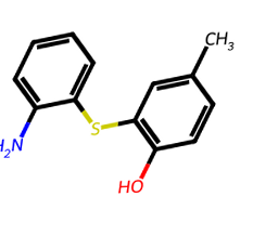 Cc1ccc(O)c(Sc2ccccc2N)c1